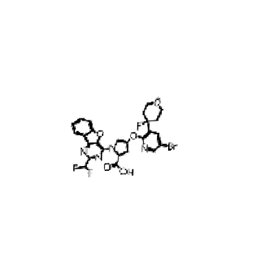 O=C(O)[C@@H]1C[C@H](Oc2ncc(Br)cc2C2(F)CCOCC2)CN1c1nc(C(F)F)nc2c1oc1ccccc12